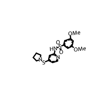 COc1cc(OC)cc(S(=O)(=O)Nc2cc(SN3CCCC3)ccn2)c1